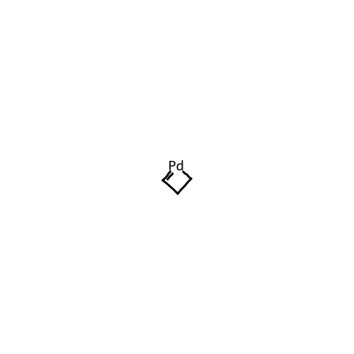 [CH]1=[Pd][CH2]C1